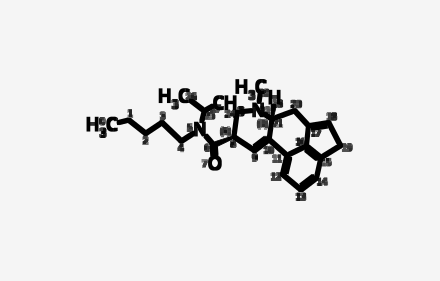 CCCCCN(C(=O)[C@@H]1C=C2c3cccc4c3C(=CC4)C[C@H]2N(C)C1)C(C)C